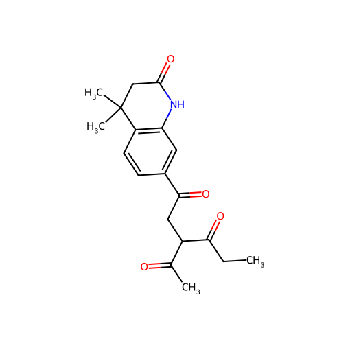 CCC(=O)C(CC(=O)c1ccc2c(c1)NC(=O)CC2(C)C)C(C)=O